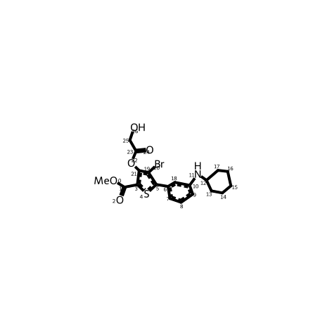 COC(=O)c1sc(-c2cccc(NC3CCCCC3)c2)c(Br)c1OC(=O)CO